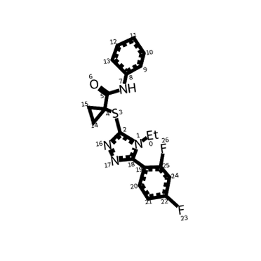 CCn1c(SC2(C(=O)Nc3ccccc3)CC2)nnc1-c1ccc(F)cc1F